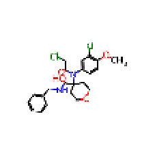 COc1ccc(N(C(=O)CCl)C2(C(O)NCc3ccccc3)CCOCC2)cc1Cl